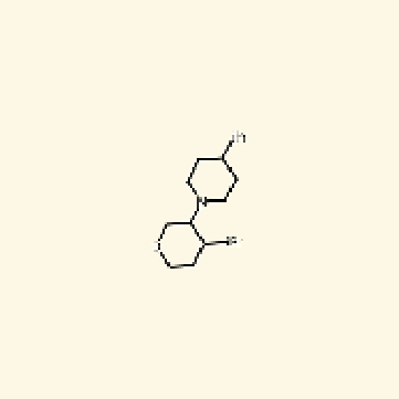 CC(C)C1CCN(C2COCCC2C(C)C)CC1